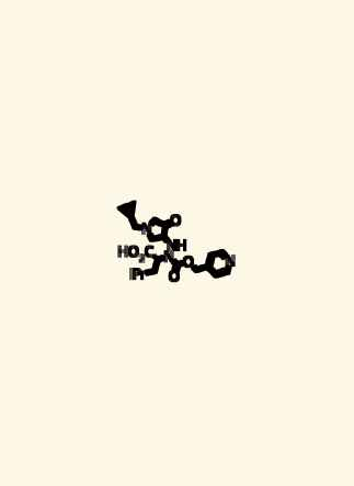 CC(C)C[C@@H](C(=O)O)N(NC1CN(CC2CC2)CC1=O)C(=O)OCc1ccncc1